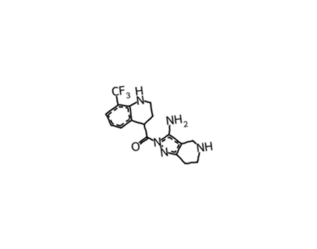 Nc1c2c(nn1C(=O)C1CCNc3c1cccc3C(F)(F)F)CCNC2